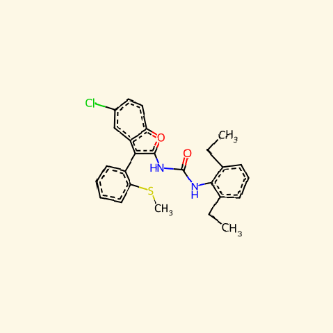 CCc1cccc(CC)c1NC(=O)Nc1oc2ccc(Cl)cc2c1-c1ccccc1SC